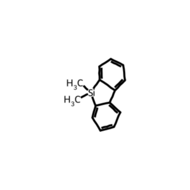 C[Si]1(C)c2ccccc2-c2ccccc21